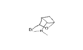 CCC1OC2CC1C2N(C)C